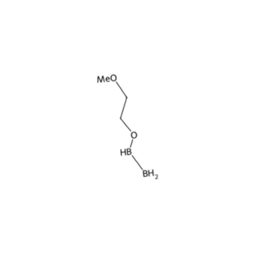 BBOCCOC